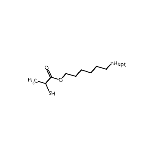 CCCCCCCCCCCCCOC(=O)C(C)S